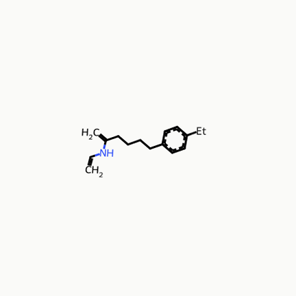 C=CNC(=C)CCCCc1ccc(CC)cc1